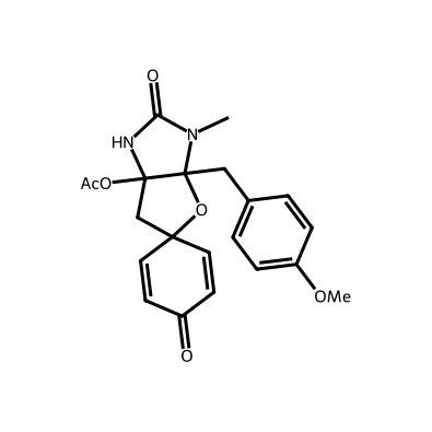 COc1ccc(CC23OC4(C=CC(=O)C=C4)CC2(OC(C)=O)NC(=O)N3C)cc1